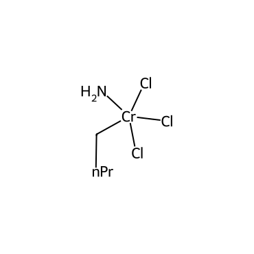 CCC[CH2][Cr]([NH2])([Cl])([Cl])[Cl]